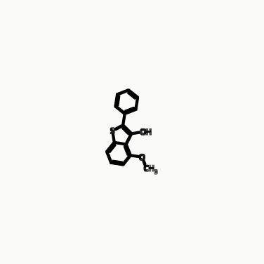 COc1cccc2sc(-c3ccccc3)c(O)c12